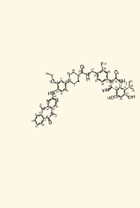 CCOc1cc(N2CCC(C(=O)NCc3ccc(N(C(=N)c4cc(C(C)C)c(O)cc4O)C(N)=O)cc3F)CC2)ccc1Nc1ncc2c(n1)N(C)c1ccccc1C(=O)N2C